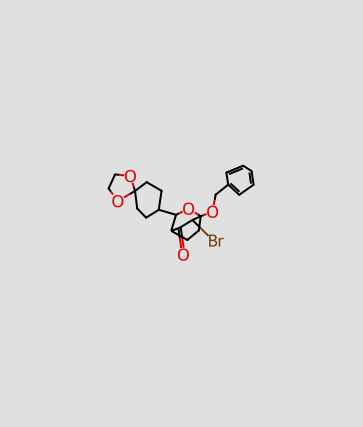 O=C1C2CCC(OCc3ccccc3)(OC2C2CCC3(CC2)OCCO3)C1Br